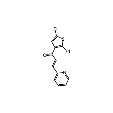 O=C(C=Cc1ccccn1)c1cc(Cl)sc1Cl